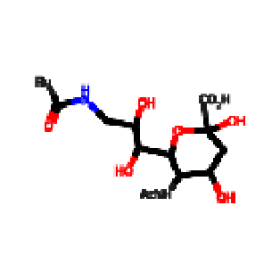 CCC(C)C(=O)NCC(O)C(O)C1OC(O)(C(=O)O)CC(O)C1NC(C)=O